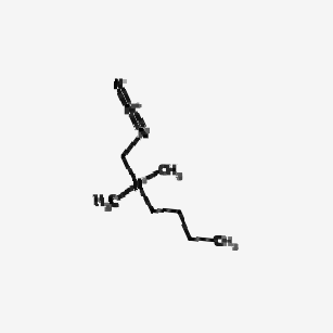 CCCC[N+](C)(C)CN=[N+]=[N-]